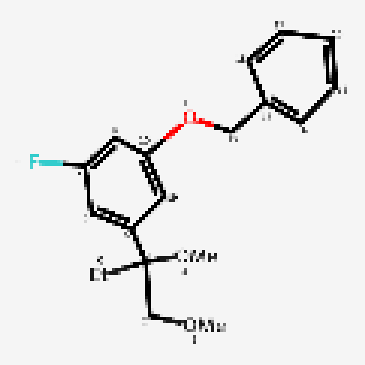 CCC(COC)(OC)c1cc(F)cc(OCc2ccccc2)c1